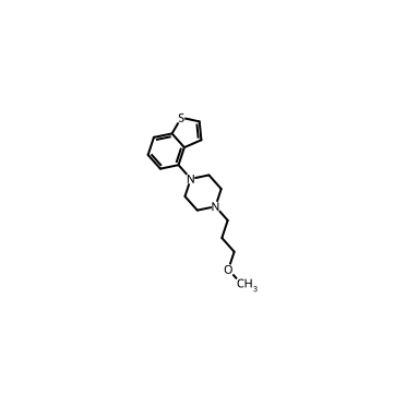 COCCCN1CCN(c2cccc3sccc23)CC1